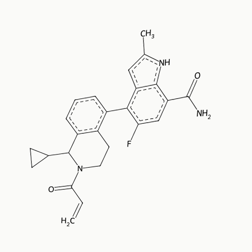 C=CC(=O)N1CCc2c(-c3c(F)cc(C(N)=O)c4[nH]c(C)cc34)cccc2C1C1CC1